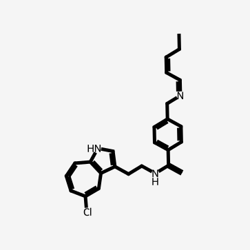 C=C(NCCc1c[nH]c2c1C=C(Cl)C=C=C2)c1ccc(C/N=C\C=C/CC)cc1